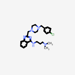 CN(C)CCCNc1nc(CN2CCN(Cc3ccc(Cl)cc3)CC2)nc2ccccc12